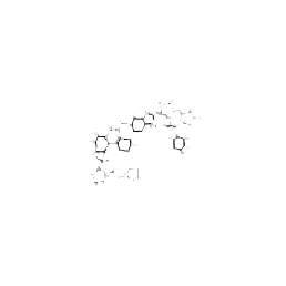 O=C(CN1CCCC1)N1CCC[C@H]1c1nc2cc(CN(Cc3ccc4[nH]c([C@@H]5CCCN5C(=O)[C@@H](c5ccccc5)N5CCCC5)nc4c3)c3ccccc3)ccc2[nH]1